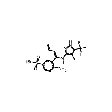 C=C/C=C(/Nc1n[nH]c(C(C)(F)F)c1C)c1cc(S(=O)(=O)C(C)(C)C)ccc1N